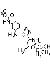 C=CC[C@H](NC(=O)OC(C)(C)C)c1nnc(-c2ccc(NC(=O)OC)cc2N)o1